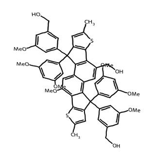 COc1cc(CO)cc(C2(c3cc(OC)cc(OC)c3)c3cc(C)sc3-c3c(CO)cc4c5c(c(OC)cc4c32)-c2sc(C)cc2C5(c2cc(CO)cc(OC)c2)c2cc(OC)cc(OC)c2)c1